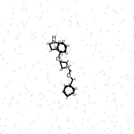 c1ccc(COCN2CC(Oc3cccc4c3CCN4)C2)cc1